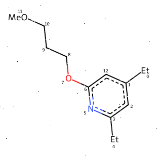 CCc1cc(CC)nc(OCCCOC)c1